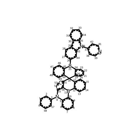 c1ccc(N2c3ccccc3B3c4ccccc4C4(c5ccccc5B(c5ccc6c7ccccc7n(-c7ccncc7)c6c5)c5ccccc54)c4cccc2c43)cc1